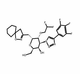 OC[C@H]1O[C@H](CC2=NOC3(CCCCC3)C2)[C@H](OCC(F)F)[C@@H](n2cc(-c3cc(F)c(F)c(F)c3)nn2)[C@H]1O